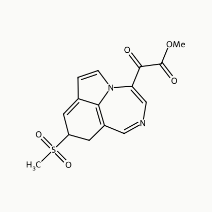 COC(=O)C(=O)C1=CN=CC2=c3c(ccn31)=CC(S(C)(=O)=O)C2